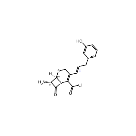 N[C@@H]1C(=O)N2C(C(=O)Cl)=C(/C=C/C[n+]3cccc(O)c3)CS[C@H]12